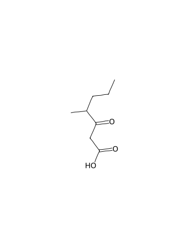 CCCC(C)C(=O)CC(=O)O